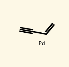 C#CC=C.[Pd]